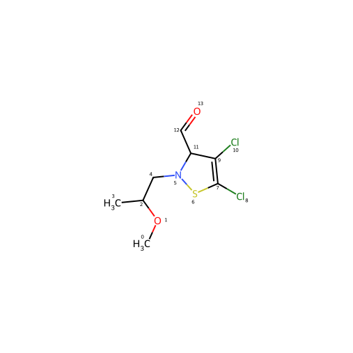 COC(C)CN1SC(Cl)=C(Cl)C1C=O